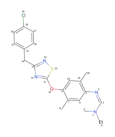 CCN(C)/C=N\c1cc(C)c(Oc2nc(Cc3ccc(Cl)cc3)ns2)cc1C